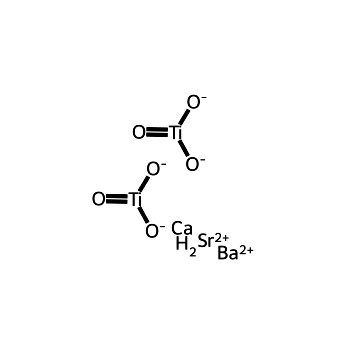 [Ba+2].[CaH2].[O]=[Ti]([O-])[O-].[O]=[Ti]([O-])[O-].[Sr+2]